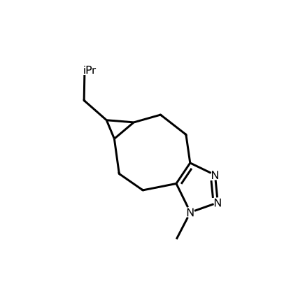 CC(C)CC1C2CCc3nnn(C)c3CCC21